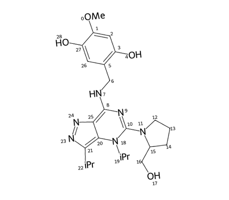 COc1cc(O)c(CNc2nc(N3CCCC3CO)n(C(C)C)c3c(C(C)C)nnc2-3)cc1O